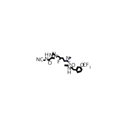 C=C(NC(=O)Cc1cccc(OC(F)(F)F)c1)S/C(CCC(F)Cn1cc(C(=O)NCC#N)nn1)=N\C